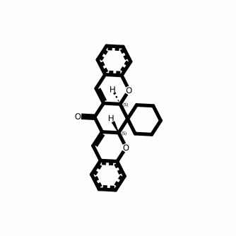 O=C1C2=Cc3ccccc3O[C@H]2C2(CCCCC2)[C@@H]2Oc3ccccc3C=C12